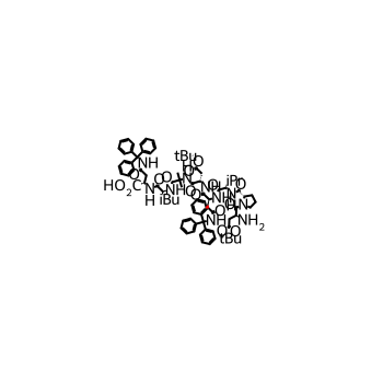 CC[C@H](C)[C@H](NC(=O)C(C)(C)NC(=O)[C@H](CC(=O)OC(C)(C)C)NC(=O)[C@H](CC(=O)NC(c1ccccc1)(c1ccccc1)c1ccccc1)NC(=O)[C@@H](NC(=O)[C@@H]1CCCN1C(=O)[C@@H](N)CC(=O)OC(C)(C)C)C(C)C)C(=O)N[C@@H](CC(=O)NC(c1ccccc1)(c1ccccc1)c1ccccc1)C(=O)O